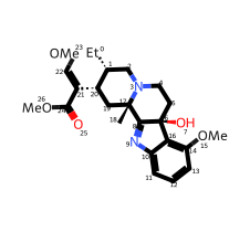 CC[C@@H]1CN2CC[C@@]3(O)C(=Nc4cccc(OC)c43)[C@]2(C)C[C@@H]1/C(=C\OC)C(=O)OC